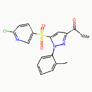 CNC(=O)c1cc(S(=O)(=O)c2ccc(Cl)nc2)n(-c2ccccc2C)n1